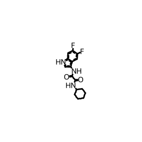 O=C(Nc1c[nH]c2cc(F)c(F)cc12)C(=O)NC1CCCCC1